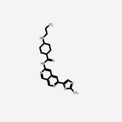 Cc1ncc(-c2cc3cc(NC(=O)C4CCC(NCCC(F)(F)F)CC4)ncc3cn2)o1